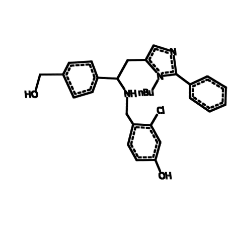 CCCCn1c(CC(NCc2ccc(O)cc2Cl)c2ccc(CO)cc2)cnc1-c1ccccc1